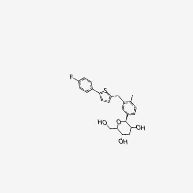 Cc1ccc([C@@H]2OC(CO)[C@@H](O)CC2O)cc1Cc1ccc(-c2ccc(F)cc2)s1